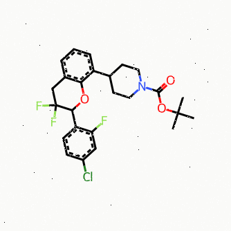 CC(C)(C)OC(=O)N1CCC(c2cccc3c2OC(c2ccc(Cl)cc2F)C(F)(F)C3)CC1